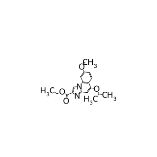 CCOC(=O)c1cn2c(cc(OC(C)C)c3ccc(OC)cc32)n1